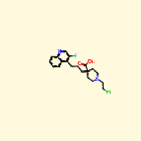 O=C(O)C1(CCCc2c(F)cnc3ccccc23)CCN(CCCl)CC1